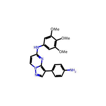 COc1cc(Nc2ccn3ncc(-c4ccc(N)cc4)c3n2)cc(OC)c1OC